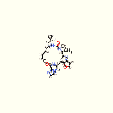 CCN1C(=O)N[C@@H](CCC(F)(F)F)C/C=C/CCOc2nc(cn3ccnc23)-c2cc(nc3ccoc23)C1C